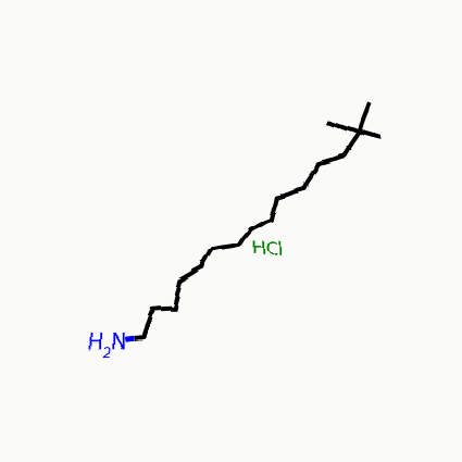 CC(C)(C)CCCCCCCCCCCCCN.Cl